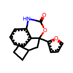 O=C1Nc2ccccc2C(CC2CCC2)(c2ccco2)O1